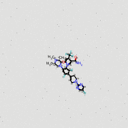 C[C@@H]1CN(c2cc(F)c(C3=CCN(c4ncc(F)cn4)CC3)c(F)c2-n2cc(C(N)=O)c(C(F)(F)F)cc2=O)C[C@H](C)N1C